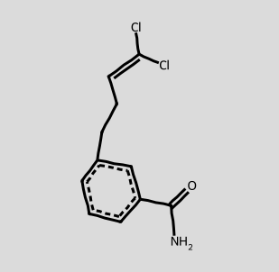 NC(=O)c1cccc(CCC=C(Cl)Cl)c1